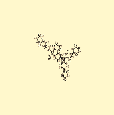 C=C/C(=C\C=C\c1ccc2ccccc2c1)c1ccc(N(C2=CCC(c3ccccc3)C=C2)C2=CC=C(C3=CC=CCC3)CC2)cc1C1=CC=CCC1